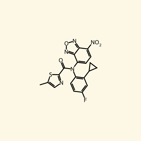 Cc1cnc(C(=O)N(c2ccc(F)cc2C2CC2)c2ccc([N+](=O)[O-])c3nonc23)s1